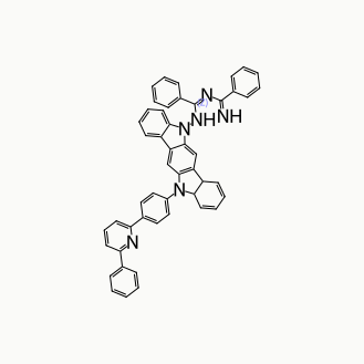 N=C(/N=C(\Nn1c2ccccc2c2cc3c(cc21)C1C=CC=CC1N3c1ccc(-c2cccc(-c3ccccc3)n2)cc1)c1ccccc1)c1ccccc1